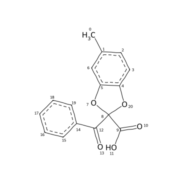 Cc1ccc2c(c1)OC(C(=O)O)(C(=O)c1ccccc1)O2